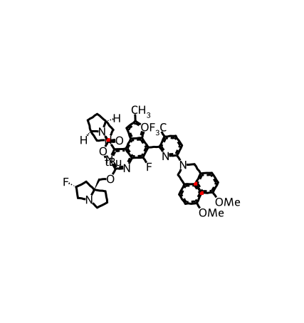 COc1ccc(CN(Cc2ccc(OC)cc2)c2ccc(C(F)(F)F)c(-c3c(F)c4nc(OC[C@@]56CCCN5C[C@H](F)C6)nc(N5C[C@H]6CC[C@@H](C5)N6C(=O)OC(C)(C)C)c4c4cc(C)oc34)n2)cc1